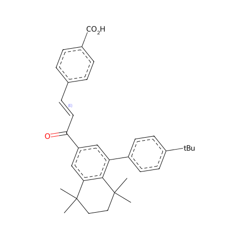 CC(C)(C)c1ccc(-c2cc(C(=O)/C=C/c3ccc(C(=O)O)cc3)cc3c2C(C)(C)CCC3(C)C)cc1